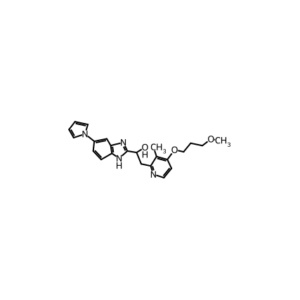 COCCCOc1ccnc(CC(O)c2nc3cc(-n4cccc4)ccc3[nH]2)c1C